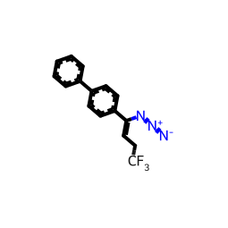 [N-]=[N+]=NC(=CCC(F)(F)F)c1ccc(-c2ccccc2)cc1